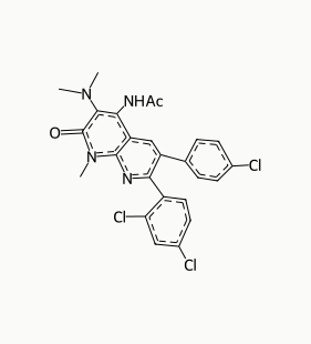 CC(=O)Nc1c(N(C)C)c(=O)n(C)c2nc(-c3ccc(Cl)cc3Cl)c(-c3ccc(Cl)cc3)cc12